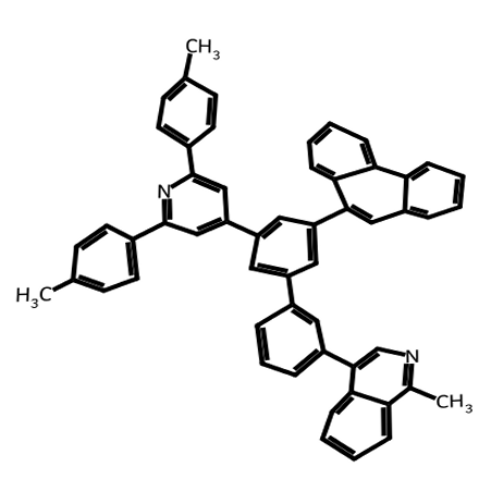 Cc1ccc(-c2cc(-c3cc(-c4cccc(-c5cnc(C)c6ccccc56)c4)cc(-c4cc5ccccc5c5ccccc45)c3)cc(-c3ccc(C)cc3)n2)cc1